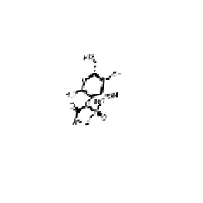 CCCC(=O)N([C@H]1C(O)O[C@H](CO)[C@@H](O)[C@@H]1O)P(=O)(O)O